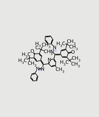 Cc1cc(C(/N=N/c2ccccc2)=C2C=C(C(C)(C)C)C(=O)C(C(C)(C)C)=C2)nc(C(/N=N/c2ccccc2)=C2C=C(C(C)(C)C)C(=O)C(C(C)(C)C)=C2)c1